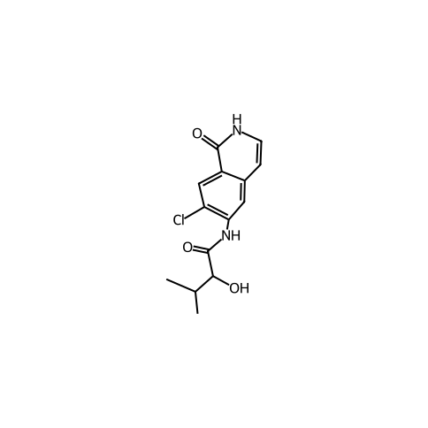 CC(C)C(O)C(=O)Nc1cc2cc[nH]c(=O)c2cc1Cl